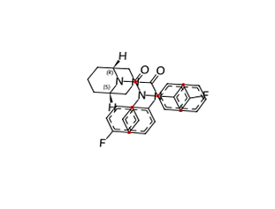 O=C(N1C[C@H]2CCC[C@@H](C1)N2C(=O)N(c1ccc(F)cc1)c1ccc(F)cc1)N(c1ccccc1)c1ccccc1